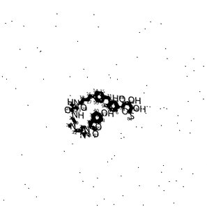 CS[C@H]1O[C@@H](c2ccc(C)c(Cc3ccc(CCCC(=O)NC(C)(C)C(=O)NCCN(C)Cc4cn(-c5cc6ccc(O)cc6oc5=O)nn4)cc3)c2)[C@H](O)[C@@H](O)[C@@H]1O